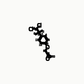 CC(C)(c1ccc(OCC2CO2)cc1)C(Cl)Cl